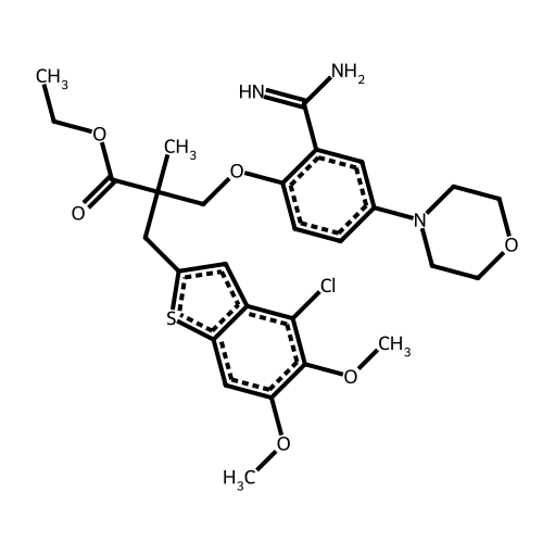 CCOC(=O)C(C)(COc1ccc(N2CCOCC2)cc1C(=N)N)Cc1cc2c(Cl)c(OC)c(OC)cc2s1